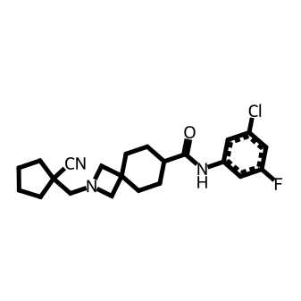 N#CC1(CN2CC3(CCC(C(=O)Nc4cc(F)cc(Cl)c4)CC3)C2)CCCC1